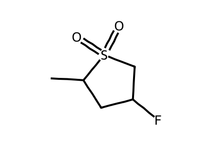 CC1CC(F)CS1(=O)=O